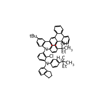 CCC(C)(C)c1ccc(N(c2ccc(C(C)(C)C)cc2-c2ccc3c4ccccc4c4ccccc4c3c2)c2cccc(N(c3ccc(C(C)(C)CC)cc3)c3cccc4c3CCC4)c2Cl)cc1